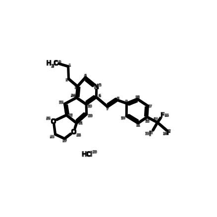 CCCc1cnc(/C=C/c2ccc(C(F)(F)F)cc2)c2cc3c(cc12)OCCO3.Cl